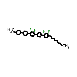 C=CC1CCC(C2CC=C(c3ccc(-c4ccc(-c5ccc(CCCCCCCCC)c(F)c5F)cc4)c(F)c3F)CC2)CC1